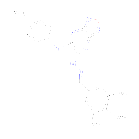 COc1ccc(Nc2nc3nonc3nc2NN=Cc2cc(OC)c(OC)c(OC)c2)cc1